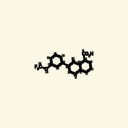 O=C(O)c1cccc2ncc(-c3cccc(OC(F)(F)F)c3)nc12